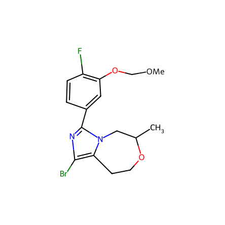 COCOc1cc(-c2nc(Br)c3n2CC(C)OCC3)ccc1F